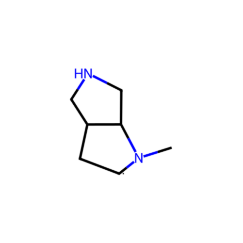 CN1[CH]CC2CNCC21